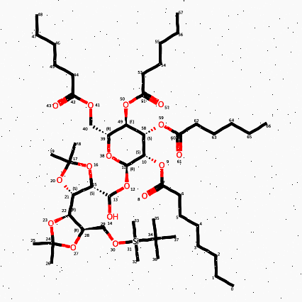 CCCCCCCC(=O)O[C@@H]1[C@@H](OC(O)[C@H]2OC(C)(C)O[C@H]2[C@@H]2OC(C)(C)O[C@@H]2CO[Si](C)(C)C(C)(C)C)O[C@H](COC(=O)CCCCC)[C@@H](OC(=O)CCCCC)[C@@H]1OC(=O)CCCCC